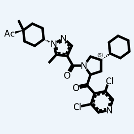 Cc1c(C(=O)N2C[C@H](C3CCCCC3)CC2C(=O)c2c(Cl)cncc2Cl)cnn1[C@H]1CC[C@](C)(C(C)=O)CC1